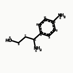 Nc1ccc(C(N)CCO)cc1